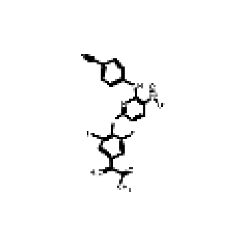 C=C(C(C)=O)c1cc(F)c(Oc2ccc([N+](=O)[O-])c(Nc3ccc(C#N)cc3)n2)c(F)c1